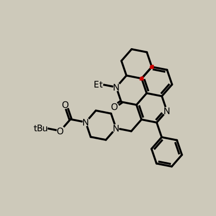 CCN(C(=O)c1c(CN2CCN(C(=O)OC(C)(C)C)CC2)c(-c2ccccc2)nc2ccccc12)C1CCCCC1